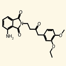 CCOc1cc(CC(=O)CCN2C(=O)c3cccc(N)c3C2=O)ccc1OC